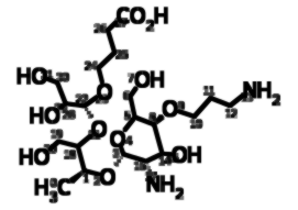 C[C@H](O[C@@H]1OC(CO)[C@@H](OCCCN)C(O)[C@@H]1N)C(CO)O[C@@H](OCCCC(=O)O)[C@@H](O)CO